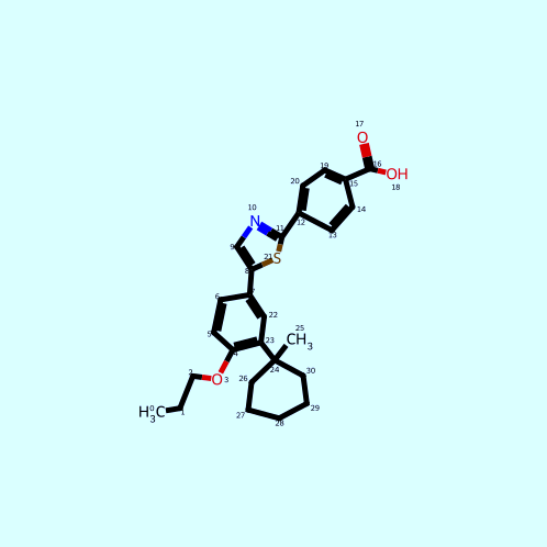 CCCOc1ccc(-c2cnc(-c3ccc(C(=O)O)cc3)s2)cc1C1(C)CCCCC1